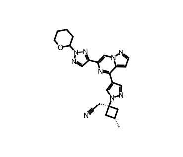 C[C@H]1C[C@](CC#N)(n2cc(-c3nc(-c4cnn(C5CCCCO5)n4)cn4nccc34)cn2)C1